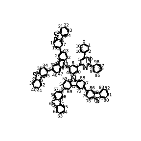 c1ccc(-c2cc(-c3cc(-n4c5ccc(-c6ccc7sc8ccccc8c7c6)cc5c5cc(-c6ccc7sc8ccccc8c7c6)ccc54)cc(-n4c5ccc(-c6ccc7sc8ccccc8c7c6)cc5c5cc(-c6ccc7sc8ccccc8c7c6)ccc54)c3)nc(-c3ccccc3)n2)cc1